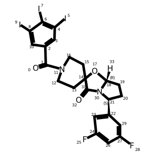 O=C(c1cc(I)c(I)c(I)c1)N1CCC2(CC1)O[C@@H]1CC[C@@H](c3cc(F)cc(F)c3)N1C2=O